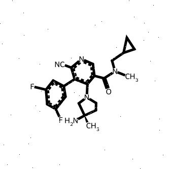 CN(CC1CC1)C(=O)c1cnc(C#N)c(-c2cc(F)cc(F)c2)c1N1CC[C@](C)(N)C1